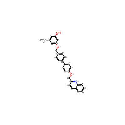 O=C(O)c1cc(O)cc(OCc2ccc(-c3ccc(OCc4ccc5ccccc5n4)cc3)cc2)c1